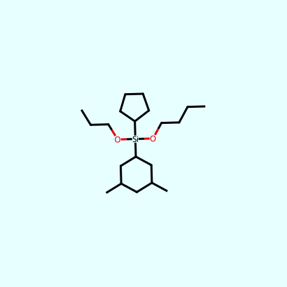 CCCCO[Si](OCCC)(C1CCCC1)C1CC(C)CC(C)C1